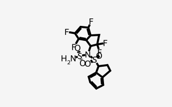 NS(=O)(=O)N(C1c2c(F)c(F)cc(F)c2CC1(F)F)S(=O)(=O)C1CCc2ccccc21